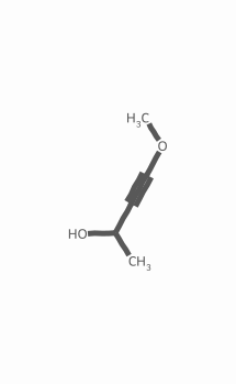 COC#CC(C)O